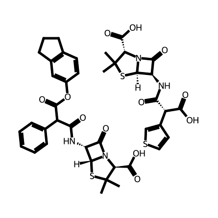 CC1(C)S[C@@H]2[C@H](NC(=O)C(C(=O)Oc3ccc4c(c3)CCC4)c3ccccc3)C(=O)N2[C@H]1C(=O)O.CC1(C)S[C@@H]2[C@H](NC(=O)[C@H](C(=O)O)c3ccsc3)C(=O)N2[C@H]1C(=O)O